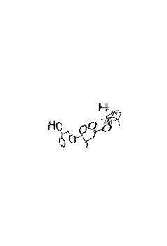 C=C(CC(=O)O[C@H]1C[C@H]2CCC1(C)C2(C)C)C(=O)OCC(=O)O